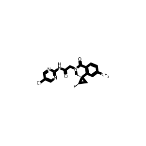 O=C(CN1C[C@@]2(C[C@@H]2F)c2cc(C(F)(F)F)ccc2C1=O)Nc1ncc(Cl)cn1